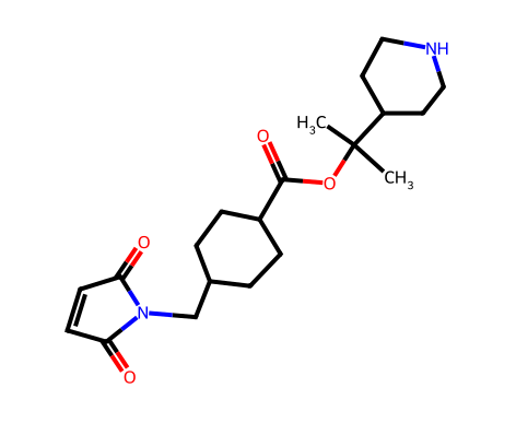 CC(C)(OC(=O)C1CCC(CN2C(=O)C=CC2=O)CC1)C1CCNCC1